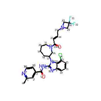 Cc1cc(C(=O)Nc2nc3cccc(Cl)c3n2C2CCCCN(C(=O)C=CCN3CC(F)(F)C3)C2)ccn1